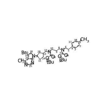 Cc1ccc(CCN(CCCN(CC2CCC(n3cc(Br)c4c(Cl)ncnc43)C2)C(=O)OC(C)(C)C)C(=O)OC(C)(C)C)cc1